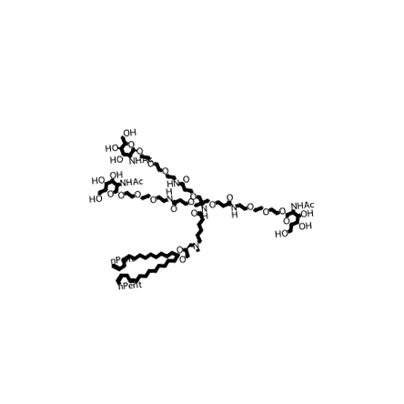 CCCCC/C=C\C/C=C\CCCCCCCCC1(CCCCCCCC/C=C\C/C=C\CCCCC)OC[C@H](CN(C)CCCCCC(=O)NC(COCCC(=O)NCCOCCOCCO[C@@H]2OC(CO)[C@H](O)C(O)C2NC(C)=O)(COCCC(=O)NCCOCCOCCO[C@@H]2OC(CO)[C@H](O)C(O)C2NC(C)=O)COCCC(=O)NCCOCCOCCO[C@@H]2OC(CO)[C@H](O)C(O)C2NC(C)=O)O1